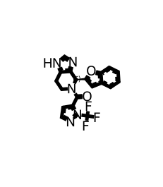 O=C(c1ccnn1C(F)(F)F)N1CCc2[nH]cnc2[C@H]1c1cc2ccccc2o1